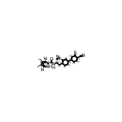 C[C@@H]1[C@H](C)[C@@H]2C[C@@H]1[C@@H](C(=O)N[C@H](C#N)Cc1ccc(-c3ccc(C#N)c(F)c3)cc1F)N2